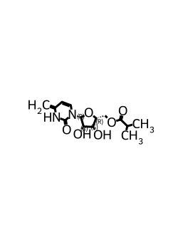 C=C1C=CN([C@@H]2O[C@H](COC(=O)C(C)C)[C@@H](O)[C@H]2O)C(=O)N1